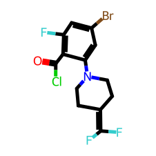 O=C(Cl)c1c(F)cc(Br)cc1N1CCC(=C(F)F)CC1